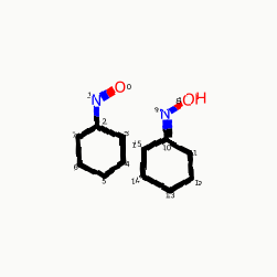 O=NC1CCCCC1.ON=C1CCCCC1